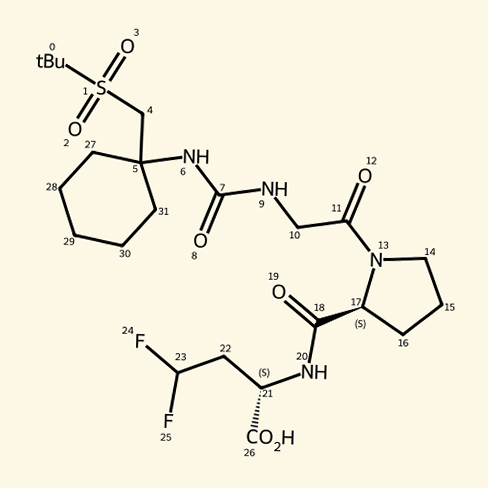 CC(C)(C)S(=O)(=O)CC1(NC(=O)NCC(=O)N2CCC[C@H]2C(=O)N[C@@H](CC(F)F)C(=O)O)CCCCC1